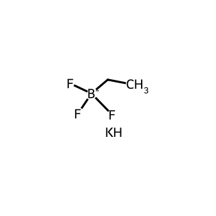 CC[B-](F)(F)F.[KH]